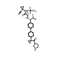 CC(C)(F)C[C@H](N[C@@H](c1ccc(-c2ccc(C3(C(=O)C4CCNC4)CC3)cc2)cc1)C(F)F)C(=O)NC1(C#N)CC1